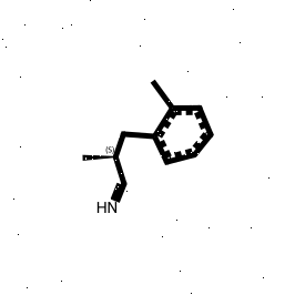 Cc1ccccc1C[C@H](C)C=N